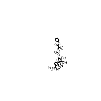 CN(C)C(COC(=O)OC[C@H]1O[C@@](C#N)(c2ccc3c(N)ncnn23)[C@H](O)[C@@H]1O)C(=O)OC1CCCC1